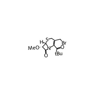 CO[C@H]1C(=O)N2C(C(=O)C(C)(C)C)=C(CBr)CS[C@@H]12